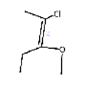 CC/C(OC)=C(\C)Cl